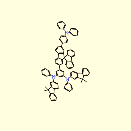 CC1(C)c2ccccc2-c2ccc(N(c3ccccc3)c3cc(-c4ccc5c(c4)C4(c6ccccc6-c6ccccc64)c4cc(-c6ccc(N(c7ccccc7)c7ccccc7)cc6)ccc4-5)cc(N(c4ccccc4)c4ccc5c(c4)C(C)(C)c4ccccc4-5)c3)cc21